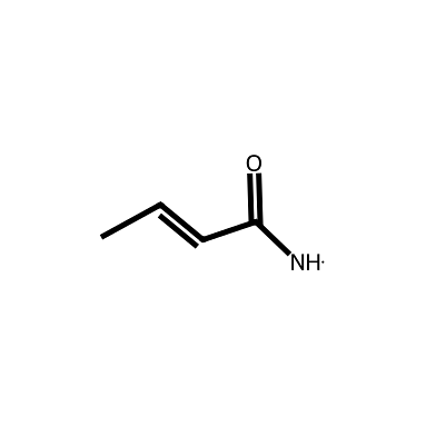 CC=CC([NH])=O